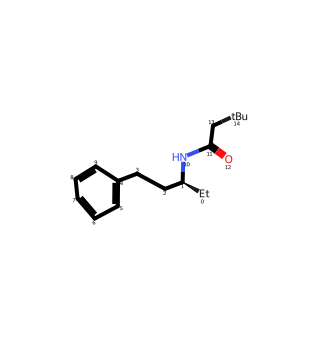 CC[C@@H](CCc1ccccc1)NC(=O)CC(C)(C)C